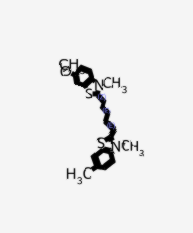 COc1ccc2c(c1)S\C(=C/C=C/C=C/c1sc3cc(C)ccc3[n+]1C)N2C